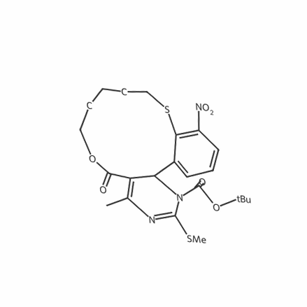 CSC1=NC(C)=C2C(=O)OCCCCCSc3c(cccc3[N+](=O)[O-])C2N1C(=O)OC(C)(C)C